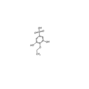 CCOc1c(O)cc(S(=O)(=O)O)cc1O